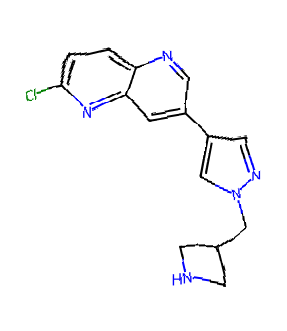 Clc1ccc2ncc(-c3cnn(CC4CNC4)c3)cc2n1